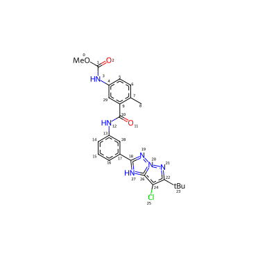 COC(=O)Nc1ccc(C)c(C(=O)Nc2cccc(-c3nn4nc(C(C)(C)C)c(Cl)c4[nH]3)c2)c1